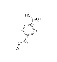 OB(O)c1ccc(OC=S)cc1